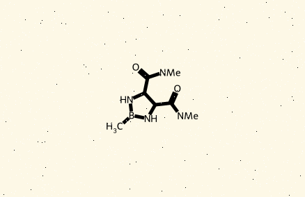 CNC(=O)C1NB(C)NC1C(=O)NC